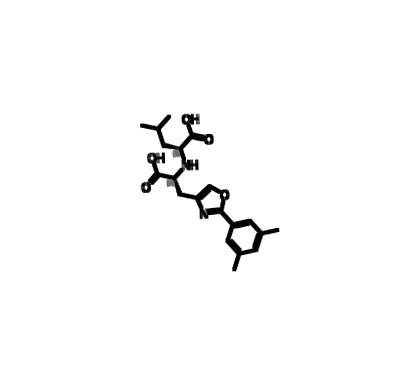 Cc1cc(C)cc(-c2nc(C[C@H](N[C@@H](CC(C)C)C(=O)O)C(=O)O)co2)c1